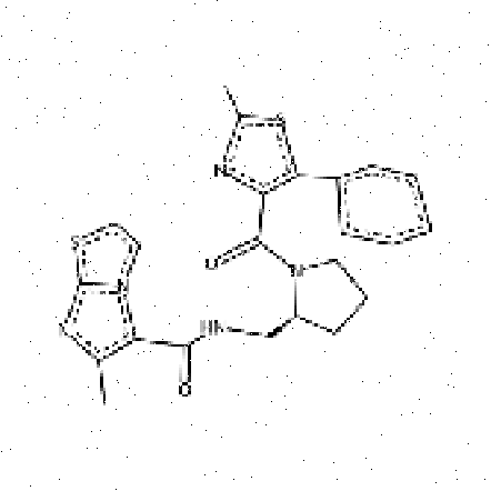 Cc1nc(C(=O)N2CCC[C@H]2CNC(=O)c2c(C)nc3sccn23)c(-c2ccccc2)s1